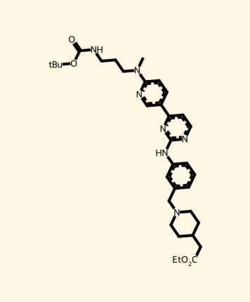 CCOC(=O)CC1CCN(Cc2cccc(Nc3nccc(-c4ccc(N(C)CCCNC(=O)OC(C)(C)C)nc4)n3)c2)CC1